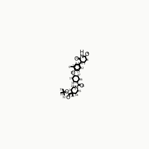 Cc1cc(C2CCC(=O)NC2=O)ccc1O[C@H]1CC[C@H](C(=O)N2CCC(C)(C(=O)OC(C)(C)C)CC2)CC1